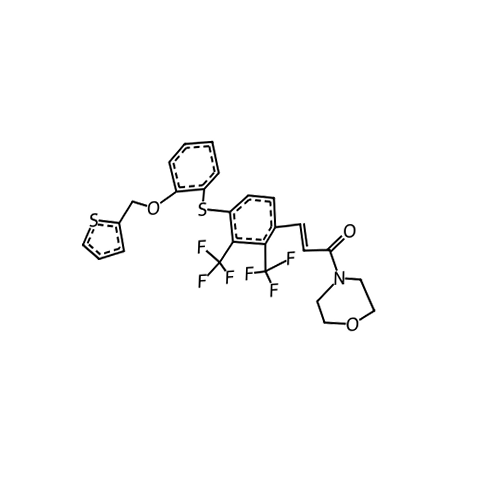 O=C(C=Cc1ccc(Sc2ccccc2OCc2cccs2)c(C(F)(F)F)c1C(F)(F)F)N1CCOCC1